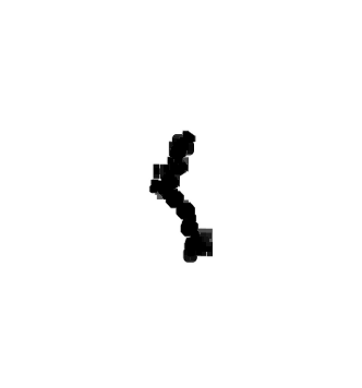 CC(C)n1nc(N2CCC(N3CCN(Cc4cccc(NC5CCC(=O)NC5=O)c4)CC3)CC2)c2cnc(Nc3ccnc(-c4cnn(S(=O)(=O)C5CC5)c4)n3)cc21